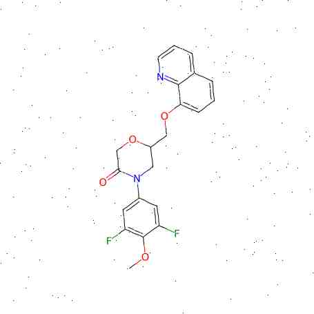 COc1c(F)cc(N2CC(COc3cccc4cccnc34)OCC2=O)cc1F